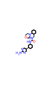 Nc1ncc(-c2cccc(NC(=O)NCc3ccccc3N3CCOCC3)c2)cn1